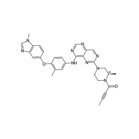 CC#CC(=O)N1CCN(c2ncc3ncnc(Nc4ccc(Oc5ccc6c(c5)ncn6C)c(C)c4)c3n2)C[C@H]1C